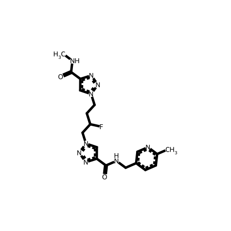 CNC(=O)c1cn(CCC(F)Cn2cc(C(=O)NCc3ccc(C)nc3)nn2)nn1